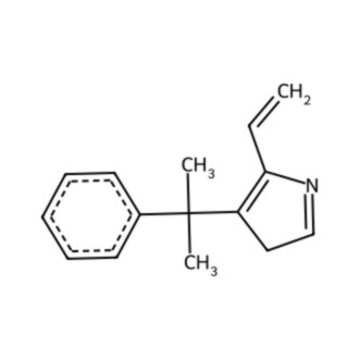 C=CC1=C(C(C)(C)c2ccccc2)CC=N1